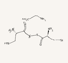 NCC(=O)O.N[C@@H](CS)C(=O)SSC(=O)[C@@H](N)CS